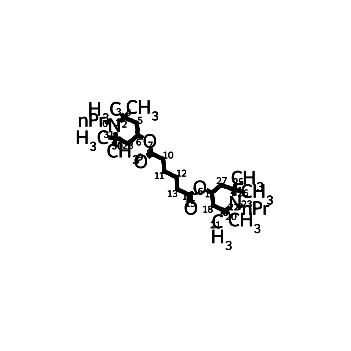 CCCN1C(C)(C)CC(OC(=O)CCCCC(=O)OC2CC(C)(C)N(CCC)C(C)(C)C2)CC1(C)C